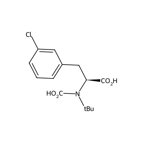 CC(C)(C)N(C(=O)O)[C@@H](Cc1cccc(Cl)c1)C(=O)O